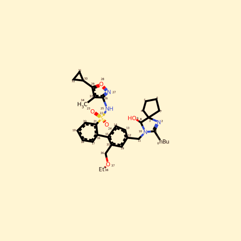 CCCCC1=NC2(CCCC2)C(O)N1Cc1ccc(-c2ccccc2S(=O)(=O)Nc2noc(C3CC3)c2C)c(COCC)c1